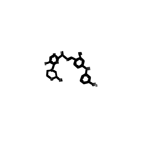 CCc1cc(Nc2cccc(C(F)(F)F)c2)ccc1/C=N/Nc1ncc(F)c(N2CCOC(CC)C2)n1